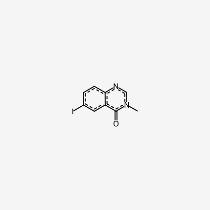 Cn1cnc2ccc(I)cc2c1=O